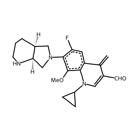 C=C1C(C=O)=CN(C2CC2)c2c1cc(F)c(N1C[C@@H]3CCCN[C@@H]3C1)c2OC